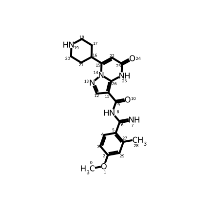 COc1ccc(C(=N)NC(=O)c2cnn3c(C4CCNCC4)cc(=O)[nH]c23)c(C)c1